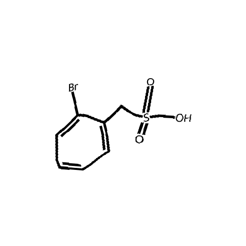 O=S(=O)(O)Cc1ccccc1Br